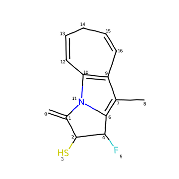 C=C1C(S)C(F)c2c(C)c3c(n21)C=CCC=C3